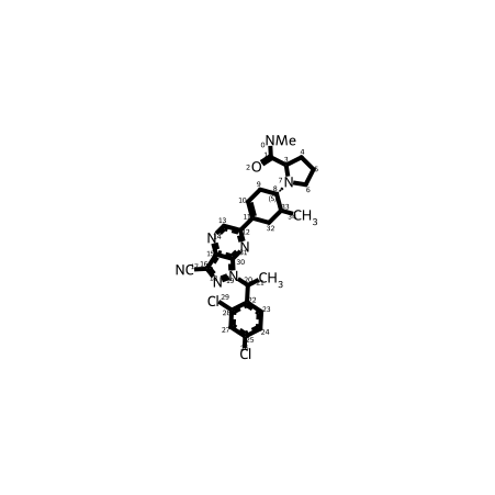 CNC(=O)C1CCCN1[C@H]1CC=C(c2cnc3c(C#N)nn(C(C)c4ccc(Cl)cc4Cl)c3n2)CC1C